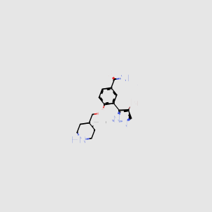 Cn1ncc(Br)c1-c1cc(C(N)=O)ccc1OCC1CCNCC1